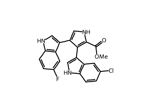 COC(=O)c1[nH]cc(-c2c[nH]c3ccc(F)cc23)c1-c1c[nH]c2ccc(Cl)cc12